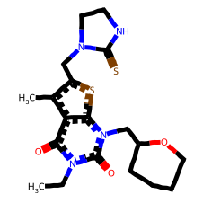 CCn1c(=O)c2c(C)c(CN3CCNC3=S)sc2n(CC2CCCCO2)c1=O